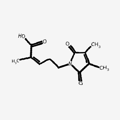 CC(=CCCN1C(=O)C(C)=C(C)C1=O)C(=O)O